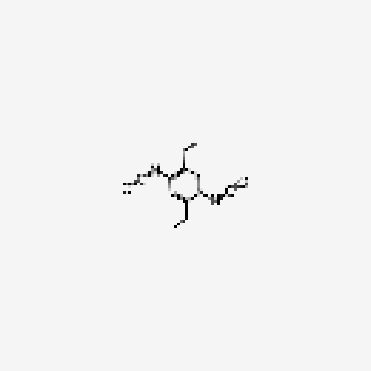 CCc1cc(N=C=O)c(CC)cc1N=C=O